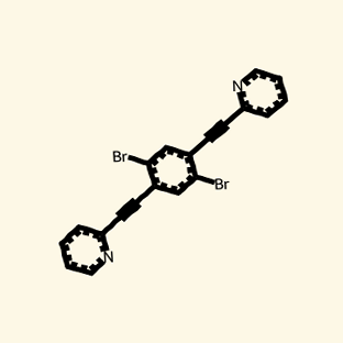 Brc1cc(C#Cc2ccccn2)c(Br)cc1C#Cc1ccccn1